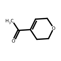 CC(=O)C1=CCOCC1